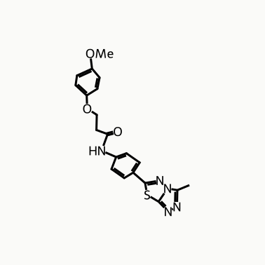 COc1ccc(OCCC(=O)Nc2ccc(-c3nn4c(C)nnc4s3)cc2)cc1